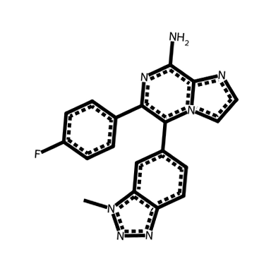 Cn1nnc2ccc(-c3c(-c4ccc(F)cc4)nc(N)c4nccn34)cc21